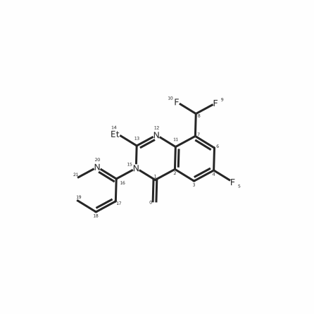 C=C1c2cc(F)cc(C(F)F)c2N=C(CC)N1C(/C=C\C)=N/C